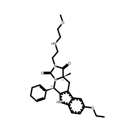 CCOc1ccc2[nH]c3c(c2c1)C[C@@]1(C)C(=O)N(CCNCCOC)C(=O)N1[C@@H]3C1=CCCC=C1